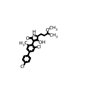 COC(C)CCC1NC(=O)C(c2c(C)cc(-c3ccc(Cl)cc3)cc2Cl)=C1O